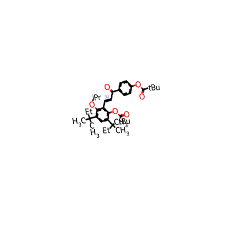 CCC(C)(C)c1cc(C(C)(C)CC)c(OC(C)C)c(/C=C/C(=O)c2ccc(OC(=O)C(C)(C)C)cc2)c1OC(=O)C(C)(C)C